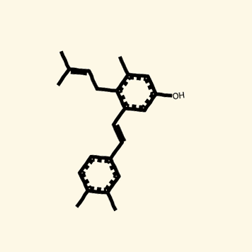 CC(C)=CCc1c(C)cc(O)cc1/C=C/c1ccc(C)c(C)c1